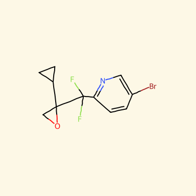 FC(F)(c1ccc(Br)cn1)C1(C2CC2)CO1